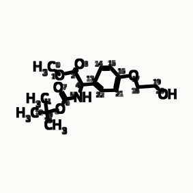 COC(=O)C(NC(=O)OC(C)(C)C)c1ccc(OCCO)cc1